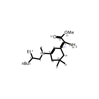 CCCCC(CC)CN(C)C1=C/C(=C(/N)C(=O)OC)CC(C)(C)C1